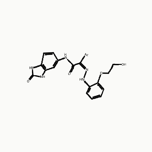 CC(=O)/C(=N/Nc1ccccc1OCCO)C(=O)Nc1ccc2[nH]c(=O)[nH]c2c1